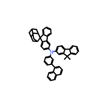 CC1(C)c2ccccc2-c2ccc(N(c3cccc(-c4cccc5ccccc45)c3)c3ccc4c(c3)-c3ccccc3C43C4CC5CC(C4)CC3C5)cc21